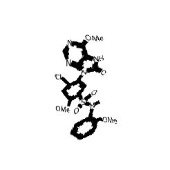 COc1ccccc1N(C)S(=O)(=O)c1cc(-n2c(=O)[nH]c3c(OC)ncnc32)c(Cl)cc1OC